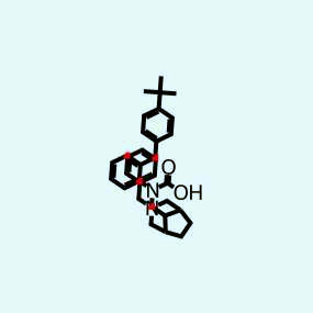 CC(C)(C)c1ccc(Cc2ccccc2N(CC2C3CCC2CN(Cc2ccccc2)C3)C(=O)O)cc1